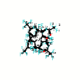 FC(F)(F)c1cc(C(F)(F)F)[c]([Ga-]([c]2c(C(F)(F)F)cc(C(F)(F)F)cc2C(F)(F)F)([c]2c(C(F)(F)F)cc(C(F)(F)F)cc2C(F)(F)F)[c]2c(C(F)(F)F)cc(C(F)(F)F)cc2C(F)(F)F)c(C(F)(F)F)c1